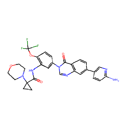 Nc1ccc(-c2ccc3c(=O)n(-c4ccc(OC(F)(F)F)c(NC(=O)C5(N6CCOCC6)CC5)c4)cnc3c2)cn1